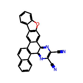 N#Cc1nc2c3cc4oc5ccccc5c4cc3c3ccc4ccccc4c3c2nc1C#N